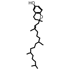 CC(=CCC1(C)CCc2cc(O)ccc2O1)CCCC(C)CCCC(C)CCCC(C)C